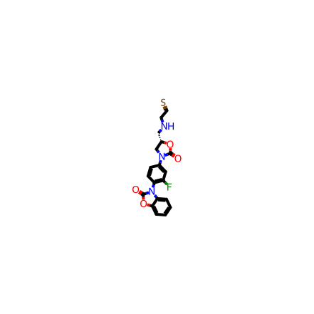 O=C1O[C@@H](CNCC=S)CN1c1ccc(-n2c(=O)oc3ccccc32)c(F)c1